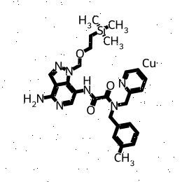 Cc1cccc(CN(Cc2ccccn2)C(=O)C(=O)Nc2cnc(N)c3cnn(COCC[Si](C)(C)C)c23)c1.[Cu]